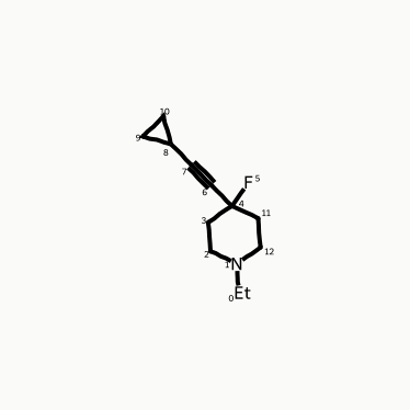 CCN1CCC(F)(C#CC2CC2)CC1